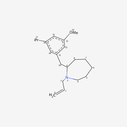 C=CCN1CCCCCC1Cc1cc(OC)cc(C(C)C)c1